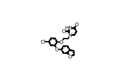 O=c1ccn(CCOc2ccc(Cl)cc2Oc2ccc3ccoc3c2)c(=O)[nH]1